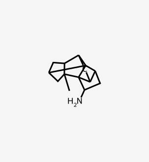 CC12CC3CC1C1CC4C5CC(N)C42C315